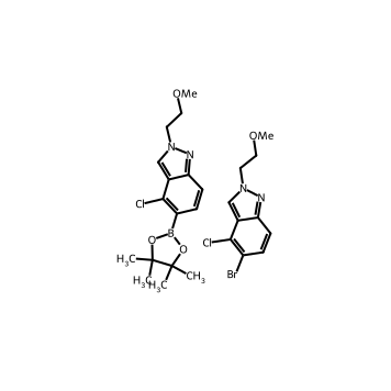 COCCn1cc2c(Cl)c(B3OC(C)(C)C(C)(C)O3)ccc2n1.COCCn1cc2c(Cl)c(Br)ccc2n1